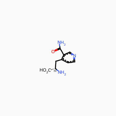 NC(=O)c1cnccc1C[C@H](N)C(=O)O